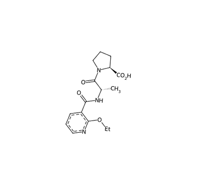 CCOc1ncccc1C(=O)N[C@@H](C)C(=O)N1CCC[C@H]1C(=O)O